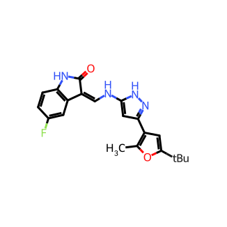 Cc1oc(C(C)(C)C)cc1-c1cc(NC=C2C(=O)Nc3ccc(F)cc32)[nH]n1